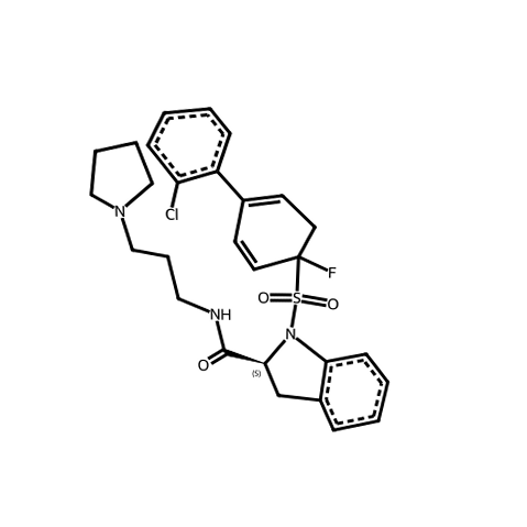 O=C(NCCCN1CCCC1)[C@@H]1Cc2ccccc2N1S(=O)(=O)C1(F)C=CC(c2ccccc2Cl)=CC1